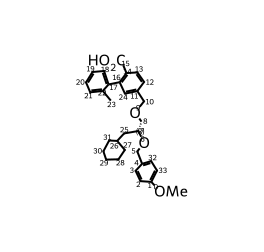 COc1ccc(CO[C@@H](COCc2ccc(C(=O)O)c(-c3ccccc3C)c2)CC2CCCCC2)cc1